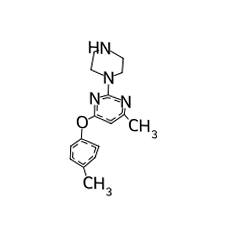 Cc1ccc(Oc2cc(C)nc(N3CCNCC3)n2)cc1